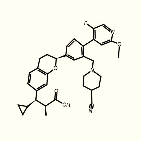 COc1cc(-c2ccc([C@@H]3CCc4ccc([C@H](C5CC5)[C@H](C)C(=O)O)cc4O3)cc2CN2CCC(C#N)CC2)c(F)cn1